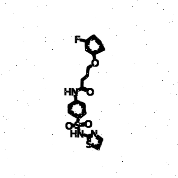 O=C(CCCOc1cccc(F)c1)Nc1ccc(S(=O)(=O)Nc2nccs2)cc1